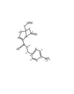 CC(=O)OCC12CC(=O)N1C(C(=O)OCc1ccc([N+](=O)[O-])cc1)=CS2